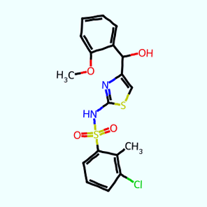 COc1ccccc1C(O)c1csc(NS(=O)(=O)c2cccc(Cl)c2C)n1